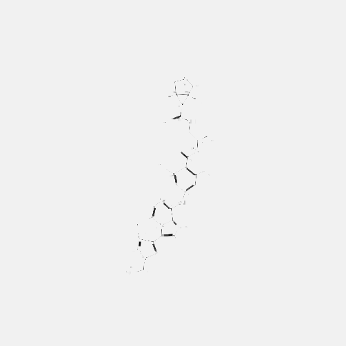 Cc1cc(Nc2nccn3c(-c4cn(CC#N)nc4C(F)(F)F)cnc23)cc(F)c1C(=O)N[C@H](C)CNC(=O)[C@H]1[C@@H]2CNC[C@@H]21